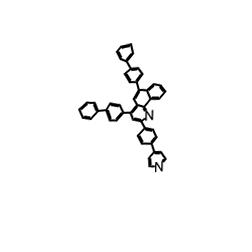 c1ccc(-c2ccc(-c3cc4c(-c5ccc(-c6ccccc6)cc5)cc(-c5ccc(-c6ccncc6)cc5)nc4c4ccccc34)cc2)cc1